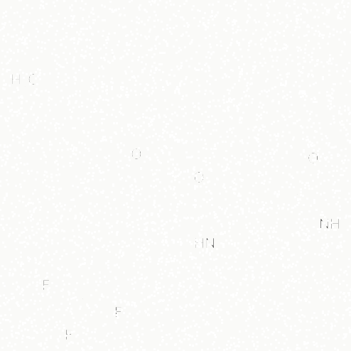 C[C@@H]1C#C[C@@H]1CCOc1ccc(C(F)(F)F)cc1C(=O)Nc1cc[nH]c(=O)c1